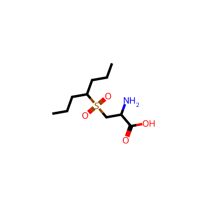 CCCC(CCC)S(=O)(=O)CC(N)C(=O)O